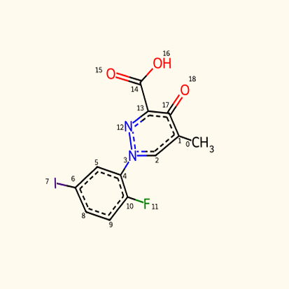 Cc1cn(-c2cc(I)ccc2F)nc(C(=O)O)c1=O